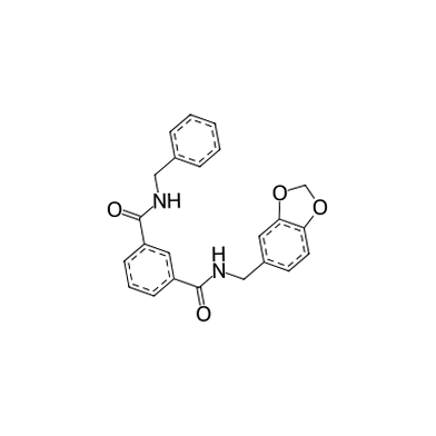 O=C(NCc1ccccc1)c1cccc(C(=O)NCc2ccc3c(c2)OCO3)c1